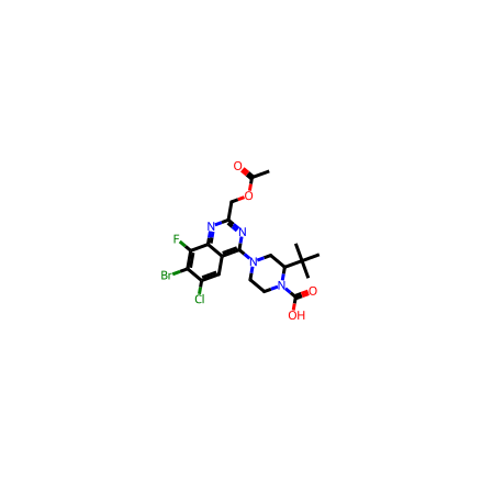 CC(=O)OCc1nc(N2CCN(C(=O)O)C(C(C)(C)C)C2)c2cc(Cl)c(Br)c(F)c2n1